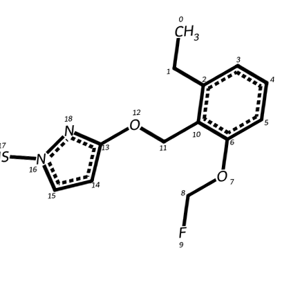 CCc1cccc(OCF)c1COc1ccn(S)n1